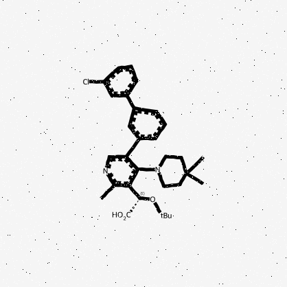 Cc1ncc(-c2cccc(-c3cccc(Cl)c3)c2)c(N2CCC(C)(C)CC2)c1[C@H](OC(C)(C)C)C(=O)O